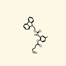 Cc1ccc(OC(=O)CCCC(C)(C)C)c(NC(=O)OCC2c3ccccc3-c3ccccc32)c1